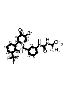 CC(C)NC(=O)Nc1cccc(Cn2cc(Br)c(=O)cc2-c2cccc(C(F)(F)F)c2Cl)c1